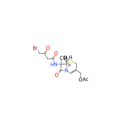 CC(=O)OCC1=CN2C(=O)C(NC(=O)CC(=O)CBr)(C(=O)O)[C@@H]2SC1